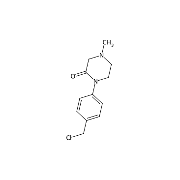 CN1CCN(c2ccc(CCl)cc2)C(=O)C1